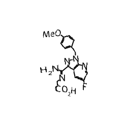 COc1ccc(Cn2nc(C(N)=NCC(=O)O)c3cc(F)cnc32)cc1